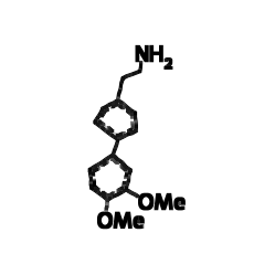 COc1ccc(-c2ccc(CCN)cc2)cc1OC